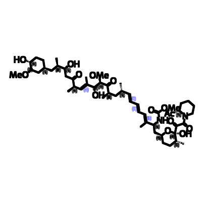 COC(=O)N[C@@H](C[C@@H]1CC[C@@H](C)[C@](O)(C(=O)C(=O)N2CCCC[C@H]2C(C)=O)O1)/C(C)=C/C=C/C=C/[C@@H](C)C[C@@H](C)C(=O)[C@H](OC)[C@H](O)/C(C)=C/[C@@H](C)C(=O)C[C@H](O)[C@H](C)C[C@@H]1CC[C@@H](O)[C@H](OC)C1